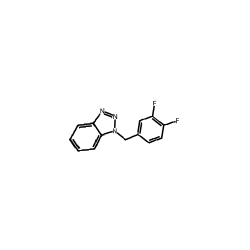 Fc1ccc(Cn2nnc3ccccc32)cc1F